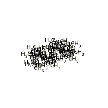 C[SiH](C)O[Si](C)(C)O[Si](C)(C)O[Si](C)(C)O[Si](C)(C)O[Si](C)(C)O[Si](C)(C)O[Si](C)(C)O[Si](C)(C)O[Si](C)(C)O[Si](C)(C)O[Si](C)(C)O[Si](C)(C)O[Si](C)(C)O[Si](C)(C)O[Si](C)(C)O[Si](C)(C)O[Si](C)(C)O[Si](C)(C)C